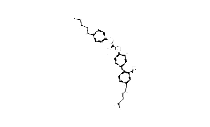 CCCCCc1ccc(OC(=O)Oc2ccc(-c3ccc(CCCCC)cc3F)cc2)cc1